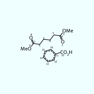 COC(=O)CCCCC(=O)OC.O=C(O)c1ccccc1